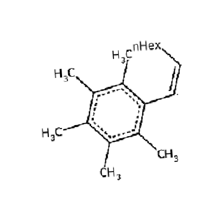 CCCCCC/C=[C]\c1c(C)c(C)c(C)c(C)c1C